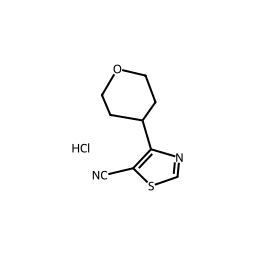 Cl.N#Cc1scnc1C1CCOCC1